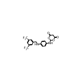 O=C1CC(=O)OC(Nc2ccc(NCc3cc(C(F)(F)F)cc(C(F)(F)F)c3)cc2)O1